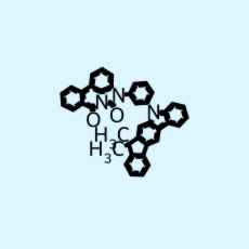 CC1(C)c2ccccc2-c2cc3c4ccccc4n(-c4cccc(-n5c(=O)n6c(=O)c7ccccc7c7cccc5c76)c4)c3cc21